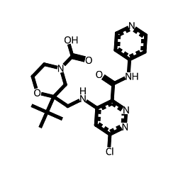 CC(C)(C)C1(CNc2cc(Cl)nnc2C(=O)Nc2ccncc2)CN(C(=O)O)CCO1